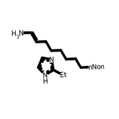 CCCCCCCCCCCCCCCC=CN.CCc1ncc[nH]1